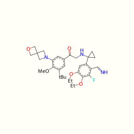 CCOc1cc(C2(NCC(=O)c3cc(N4CC5(COC5)C4)c(OC)c(C(C)(C)C)c3)CC2)c(C=N)c(F)c1OCC